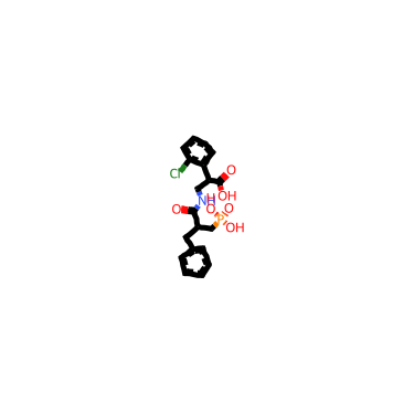 O=C(NCC(C(=O)O)c1ccccc1Cl)C(Cc1ccccc1)CP(=O)(O)O